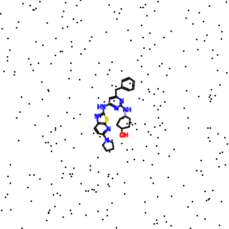 O[C@H]1CC[C@H](Nc2nc(Cc3ccccc3)cc(Nc3nc4ccc(N5CCCC5)nc4s3)n2)CC1